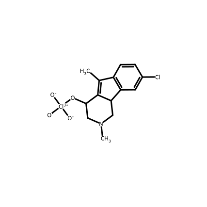 CC1=C2C(O[Cl+3]([O-])([O-])[O-])CN(C)CC2c2cc(Cl)ccc21